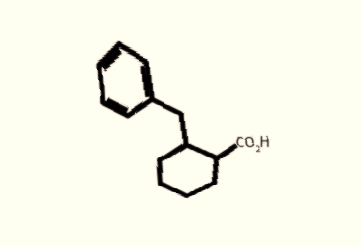 O=C(O)C1CCCCC1Cc1ccccc1